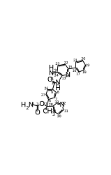 CC(OC(N)=O)(c1ccc(C(=O)Nc2nc(-c3ccccc3)ccc2N)cc1)c1cccnc1